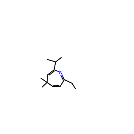 CCC1=NC(C(C)C)=CC(C)(C)C=C1